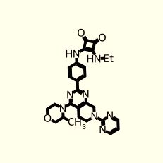 CCNc1c(Nc2ccc(-c3nc4c(c(N5CCOCC5C)n3)CCN(c3ncccn3)C4)cc2)c(=O)c1=O